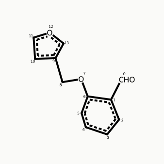 O=Cc1ccccc1OCc1ccoc1